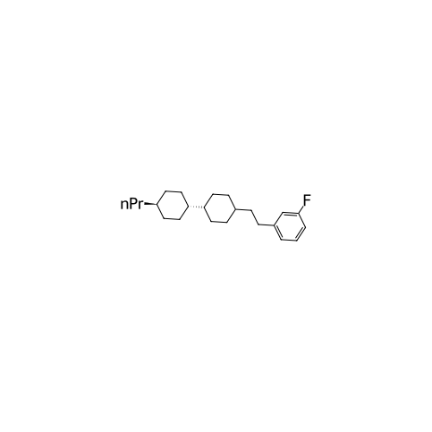 CCC[C@H]1CC[C@H](C2CCC(CCc3cccc(F)c3)CC2)CC1